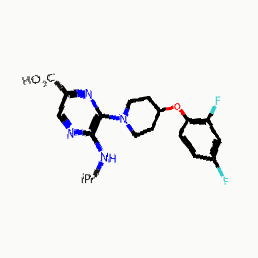 CC(C)Nc1ncc(C(=O)O)nc1N1CCC(Oc2ccc(F)cc2F)CC1